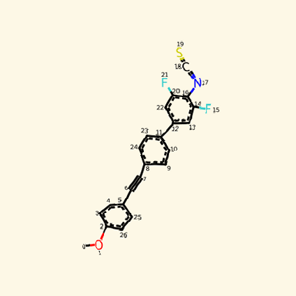 COc1ccc(C#Cc2ccc(-c3cc(F)c(N=C=S)c(F)c3)cc2)cc1